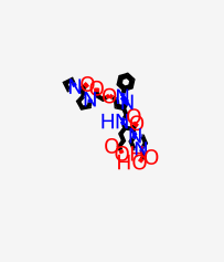 O=C(O)CCC(NC(=O)c1cc(OCC(=O)N2CCCC2C(=O)N2CCC2)n(-c2ccccc2)n1)C(=O)N1CCN(C(=O)O)CC1